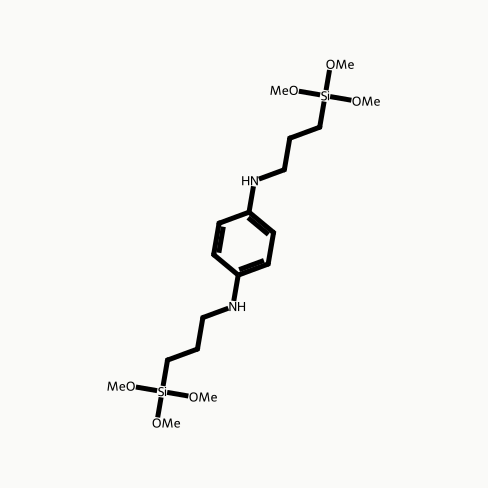 CO[Si](CCCNc1ccc(NCCC[Si](OC)(OC)OC)cc1)(OC)OC